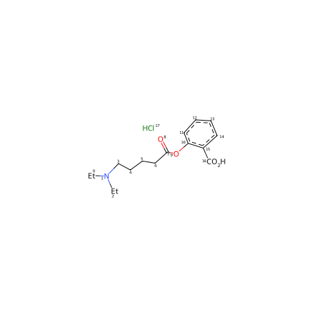 CCN(CC)CCCCC(=O)Oc1ccccc1C(=O)O.Cl